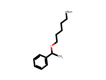 CCCCCCCCCCCCCCOC(C)c1ccccc1